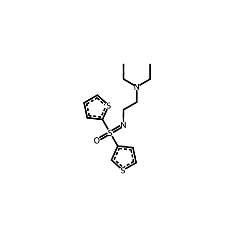 CCN(CC)CCN=S(=O)(c1ccsc1)c1cccs1